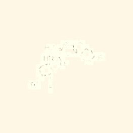 C[C@](O)(CN1CCc2cc(F)ccc21)C(=O)Nc1ccc(C#N)c(CF)c1